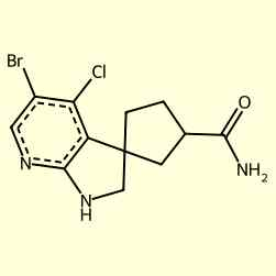 NC(=O)C1CCC2(CNc3ncc(Br)c(Cl)c32)C1